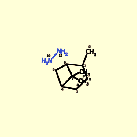 CC1CCC2CC1C2(C)C.NN